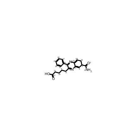 NC(=O)C1C=c2nc(CCCCC(=O)O)c(-c3ccccc3)nc2=CC1